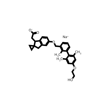 Cc1cc(OCCO)cc(C)c1-c1cccc(COc2ccc3c(c2)CC2(CC2)C3CC(=O)[O-])c1C.[Na+]